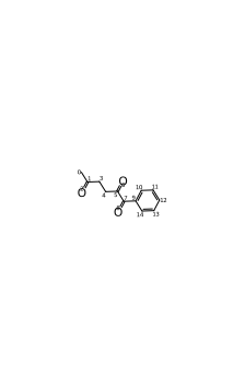 CC(=O)CCC(=O)C(=O)c1ccccc1